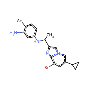 CC(=O)c1ccc(NC(C)c2cn3cc(C4CC4)cc(Br)c3n2)cc1N